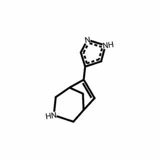 C1=C(c2cn[nH]c2)C2CNCC1C2